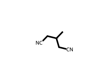 C[C](CC#N)CC#N